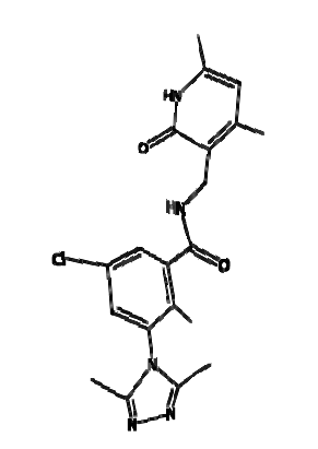 Cc1cc(C)c(CNC(=O)c2cc(Cl)cc(-n3c(C)nnc3C)c2C)c(=O)[nH]1